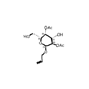 C=CCO[C@H]1O[C@H](CO)[C@H](OC(C)=O)[C@H](O)[C@H]1OC(C)=O